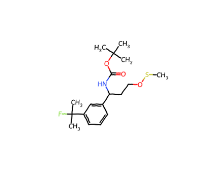 CSOCCC(NC(=O)OC(C)(C)C)c1cccc(C(C)(C)F)c1